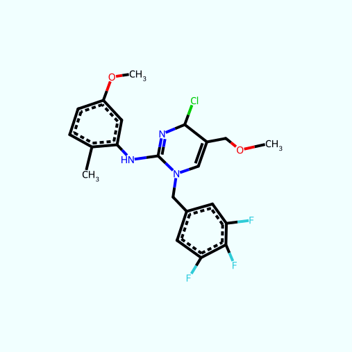 COCC1=CN(Cc2cc(F)c(F)c(F)c2)C(Nc2cc(OC)ccc2C)=NC1Cl